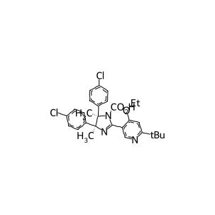 CCOc1cc(C(C)(C)C)ncc1C1=N[C@@](C)(c2ccc(Cl)cc2)[C@@](C)(c2ccc(Cl)cc2)N1C(=O)O